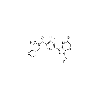 Cc1cc(-c2cn(SI)c3ncc(Br)nc23)ccc1C(=O)N(C)CC1CCOC1